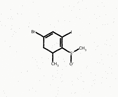 CC1CC(Br)=CC(I)=C1[S+](C)[O-]